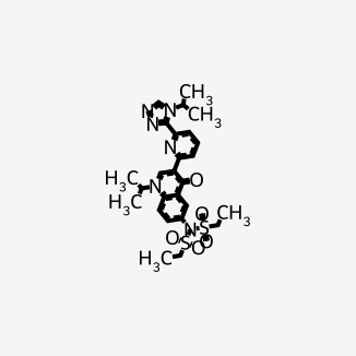 CCS(=O)(=O)N(c1ccc2c(c1)c(=O)c(-c1cccc(-c3nncn3C(C)C)n1)cn2C(C)C)S(=O)(=O)CC